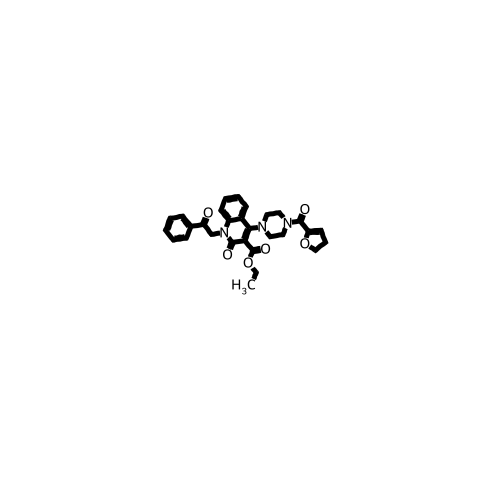 CCOC(=O)c1c(N2CCN(C(=O)C3=CCCO3)CC2)c2ccccc2n(CC(=O)c2ccccc2)c1=O